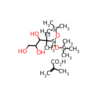 C=C(C)C(=O)O.CCC(C)(C(O)C(O)CO)[SiH](O[Si](C)(C)C)O[Si](C)(C)C